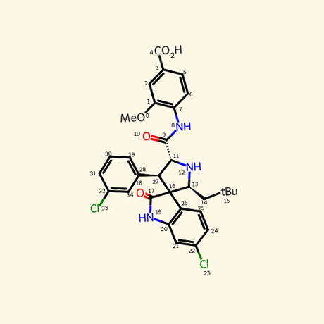 COc1cc(C(=O)O)ccc1NC(=O)[C@@H]1N[C@@H](CC(C)(C)C)C2(C(=O)Nc3cc(Cl)ccc32)[C@H]1c1cccc(Cl)c1